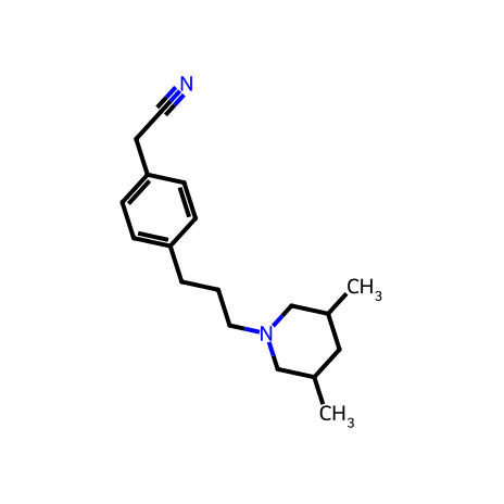 CC1CC(C)CN(CCCc2ccc(CC#N)cc2)C1